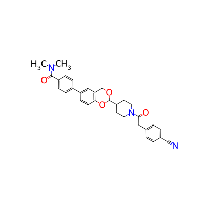 CN(C)C(=O)c1ccc(-c2ccc3c(c2)COC(C2CCN(C(=O)Cc4ccc(C#N)cc4)CC2)O3)cc1